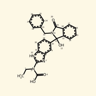 CCN(C(=O)O)c1nc2cc(C3(O)c4ccccc4C(=O)N3Cc3ccccc3)ccc2[nH]1